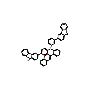 c1cc(-c2ccc3sc4ccccc4c3c2)cc(N(c2ccc(-c3ccc4oc5ccccc5c4c3)cc2)c2ccccc2-c2ccc3ccccc3c2)c1